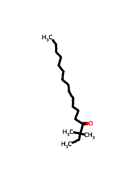 CCCCCCCCCCCCCC(=O)C(C)(C)CC